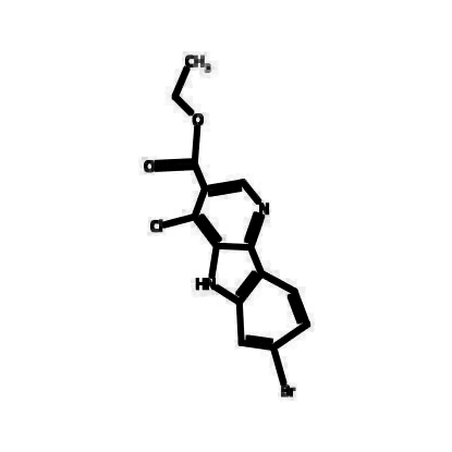 CCOC(=O)c1cnc2c([nH]c3cc(Br)ccc32)c1Cl